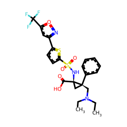 CCN(CC)C[C@@]1(c2ccccc2)C[C@]1(NS(=O)(=O)c1ccc(-c2cc(C(F)(F)F)on2)s1)C(=O)O